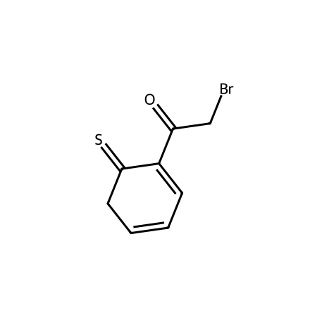 O=C(CBr)C1=CC=CCC1=S